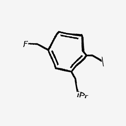 CC(C)c1cc(F)ccc1I